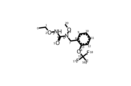 CCONC(=O)N(Cc1ccccc1OC(F)(F)F)OC